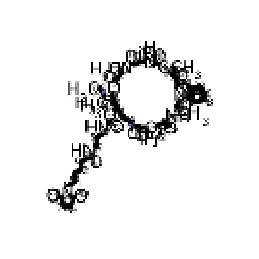 C/C=C(\C)[C@H]1OC(=O)[C@@H](C)NC(=O)C(C(C)CC)NC(=O)CN(C)C(=O)[C@@H](Cc2ccccc2)N(C)C(=O)[C@H](C)NC(=O)[C@@H](CC(C)C)OC(=O)/C(C)=C/C[C@H](OC(=O)NCCCNC(=O)CCCCCN2C(=O)C=CC2=O)[C@@H]1C